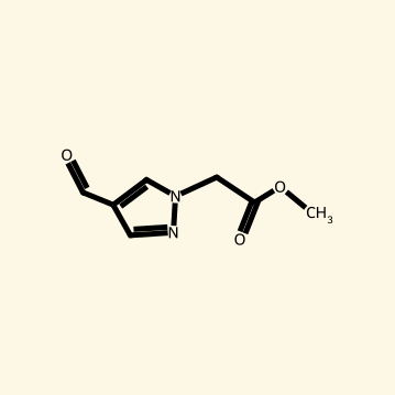 COC(=O)Cn1cc(C=O)cn1